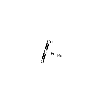 O=[C]=[Co].[Fe].[Ru]